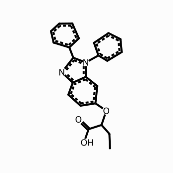 CCC(Oc1ccc2nc(-c3ccccc3)n(-c3ccccc3)c2c1)C(=O)O